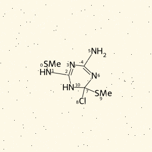 CSNC1=NC(N)=NC(Cl)(SC)N1